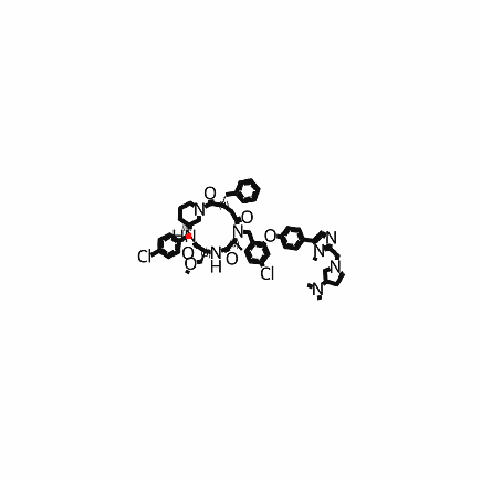 COC[C@@H]1NC(=O)[C@H](C)N(Cc2ccc(Cl)cc2Oc2ccc(-c3cnc(CN4CCC(N(C)C)C4)n3C)cc2)C(=O)C[C@@H](Cc2ccccc2)C(=O)N2CCC[C@@](Cc3ccc(Cl)cc3)(C2)NC1=O